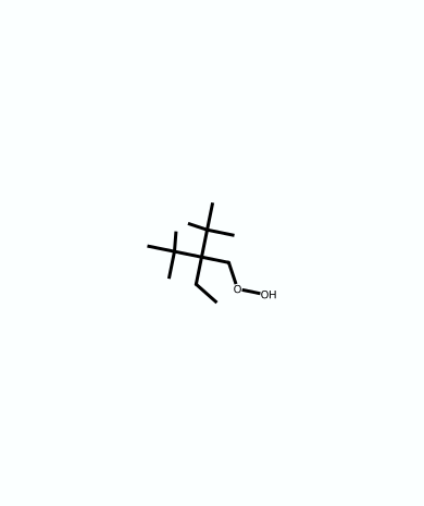 CCC(COO)(C(C)(C)C)C(C)(C)C